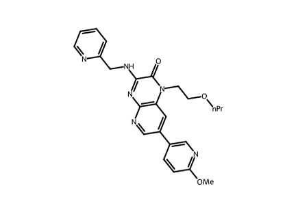 CCCOCCn1c(=O)c(NCc2ccccn2)nc2ncc(-c3ccc(OC)nc3)cc21